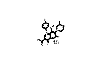 COc1c(N2CCNC(C)C2)c(F)cc2c(=O)c(C(=O)O)cn(-c3ccc(F)cc3)c12.Cl.O